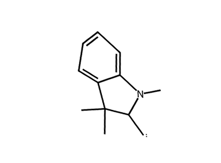 [CH]C1N(C)c2ccccc2C1(C)C